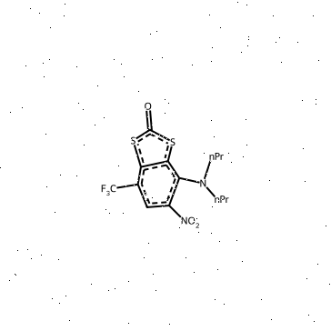 CCCN(CCC)c1c([N+](=O)[O-])cc(C(F)(F)F)c2sc(=O)sc12